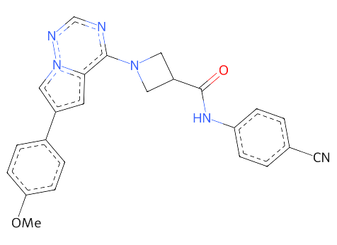 COc1ccc(-c2cc3c(N4CC(C(=O)Nc5ccc(C#N)cc5)C4)ncnn3c2)cc1